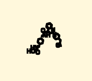 O=C(O)NC[C@H]1CC[C@H](CNC(=O)c2cc(N3CCC(CC4CO4)CC3)nc3ccccc23)CC1